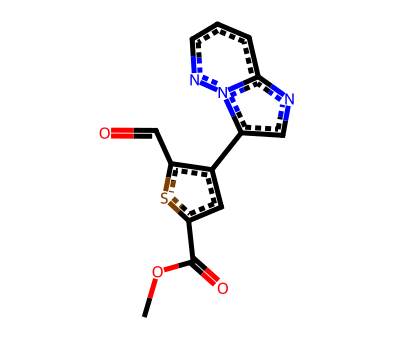 COC(=O)c1cc(-c2cnc3cccnn23)c(C=O)s1